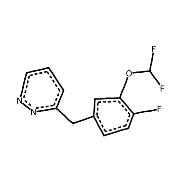 Fc1ccc([CH]c2cccnn2)cc1OC(F)F